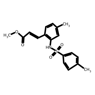 COC(=O)/C=C/c1ccc(C)cc1NS(=O)(=O)c1ccc(C)cc1